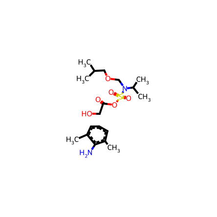 CC(C)COCN(C(C)C)S(=O)(=O)OC(=O)CO.Cc1cccc(C)c1N